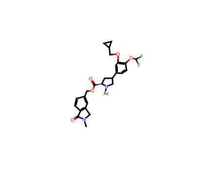 CC(=O)N1CC(c2ccc(OC(F)F)c(OCC3CC3)c2)C[C@@H]1C(=O)OCc1ccc2c(c1)CN(C)C2=O